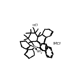 CC12C(=C3Cc4ccccc4C3=C3C=CCCC31)[C](C)([Zr](=[SiH2])([C]1=CC=CC1)([CH]1CCCC1)[CH]1CCCC1)C(C)(C)C(C)(C)C2(C)C.Cl.Cl